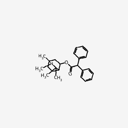 CN1C2(C)CCC(C(OC(=O)C(c3ccccc3)c3ccccc3)C2)C1(C)C